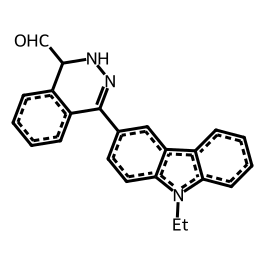 CCn1c2ccccc2c2cc(C3=NNC(C=O)c4ccccc43)ccc21